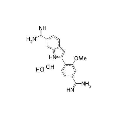 COc1cc(C(=N)N)ccc1-c1cc2ccc(C(=N)N)cc2[nH]1.Cl.Cl